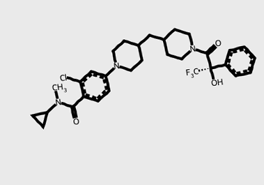 CN(C(=O)c1ccc(N2CCC(CC3CCN(C(=O)[C@](O)(c4ccccc4)C(F)(F)F)CC3)CC2)cc1Cl)C1CC1